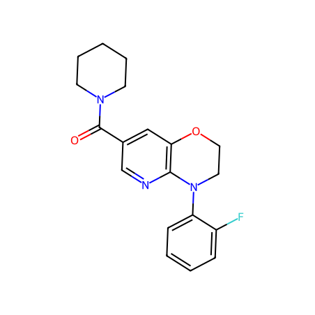 O=C(c1cnc2c(c1)OCCN2c1ccccc1F)N1CCCCC1